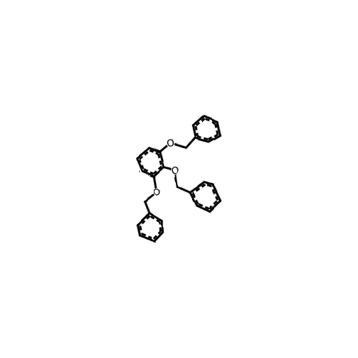 [c]1ccc(OCc2ccccc2)c(OCc2ccccc2)c1OCc1ccccc1